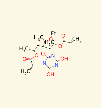 C=CC(=O)OC(C)CC(CC(C)OC(=O)C=C)(Oc1nc(O)nc(O)n1)C(C)OCC